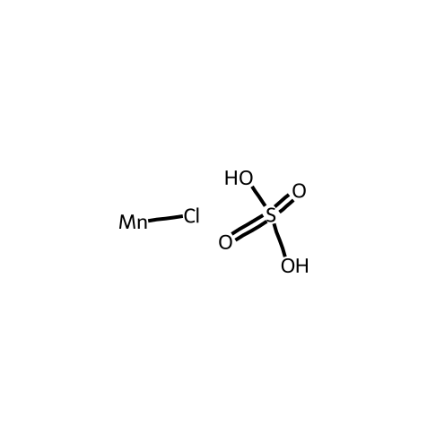 O=S(=O)(O)O.[Cl][Mn]